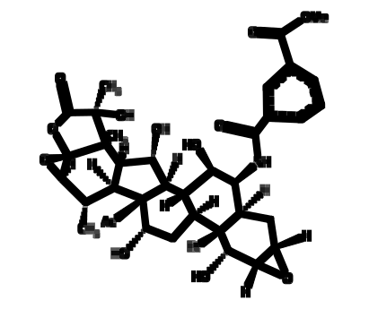 CC[C@@]12[C@H](C[C@@H]3O[C@@H]3[C@@H]1O)[C@H](NC(=O)c1cccc(C(=O)OC)c1)[C@H](O)[C@H]1[C@@H]3[C@@H](O)[C@@H]4[C@H]([C@H](C)[C@H]5O[C@]56OC(=O)[C@@](C)(O)[C@]46C)[C@@]3(C(C)=O)[C@@H](O)C[C@@H]12